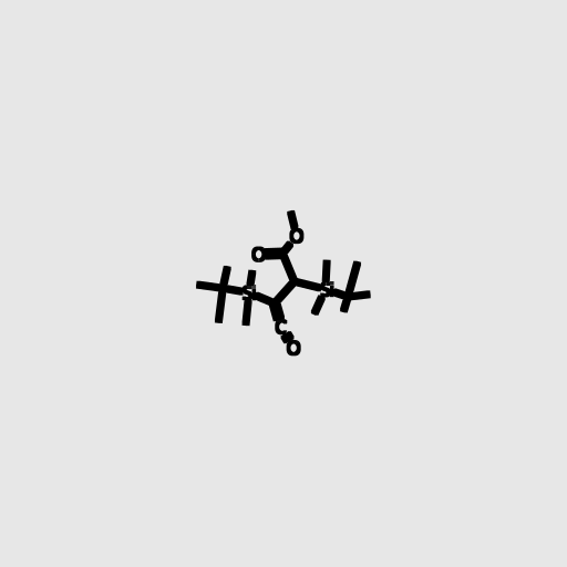 COC(=O)C(C(=C=O)[Si](C)(C)C(C)(C)C)[Si](C)(C)C(C)(C)C